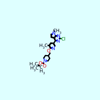 Cc1cc(-c2nc(Cl)nc3c2ccn3C)cnc1OCC1CCN(C(=O)OC(C)(C)C)CC1